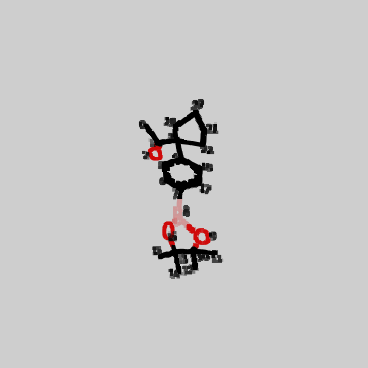 CC(=O)C1(c2ccc(B3OC(C)(C)C(C)(C)O3)cc2)CCCC1